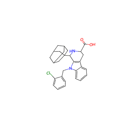 O=C(O)C1Cc2c(n(Cc3ccccc3Cl)c3ccccc23)C(C23CC4CC(CC(C4)C2)C3)N1